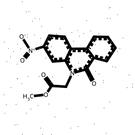 COC(=O)Cn1c(=O)c2ccccc2c2ccc([N+](=O)[O-])cc21